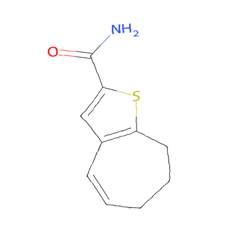 NC(=O)c1cc2c(s1)CCCC=C2